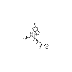 C/C=N/CN/C(=C(C)/N=C(\C)CC(=O)C1CCOC1)N1CCc2cc(F)ccc21